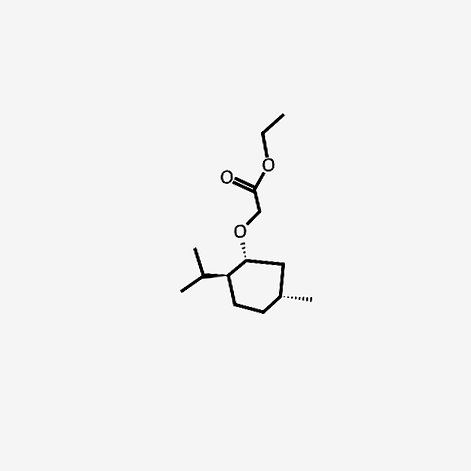 CCOC(=O)CO[C@@H]1C[C@H](C)CC[C@H]1C(C)C